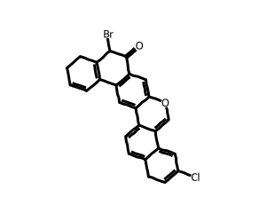 O=C1c2cc3c(cc2C2=C(CCC=C2)C1Br)-c1ccc2c(c1=CO3)=CC(Cl)=CC2